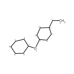 CCC1CCC(OC2CCCCC2)CC1